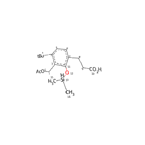 CC(=O)OCc1c(C(C)(C)C)ccc(CCC(=O)O)c1O[SiH](C)C